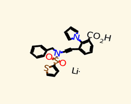 O=C(O)c1cccc(C#CN(Cc2ccccc2)S(=O)(=O)c2cccs2)c1-n1cccc1.[Li]